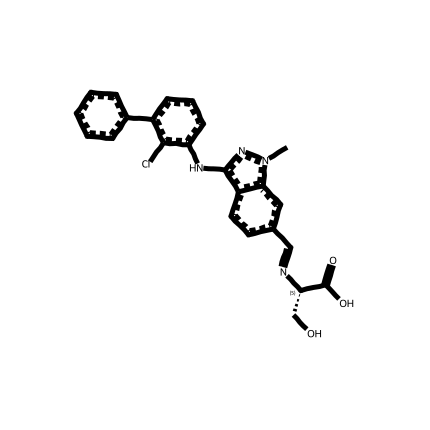 Cn1nc(Nc2cccc(-c3ccccc3)c2Cl)c2ccc(C=N[C@@H](CO)C(=O)O)cc21